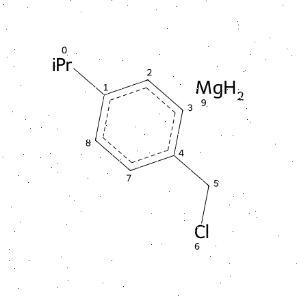 CC(C)c1ccc(CCl)cc1.[MgH2]